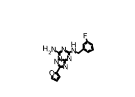 Nc1nc(NCc2cccc(F)c2)nc2nc(-c3ccco3)nn12